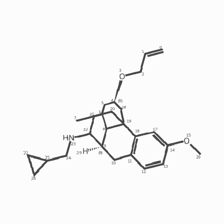 C=CCO[C@@H]1CC(C)C2[C@H]3Cc4ccc(OC)cc4C2(CCC3NCC2CC2)C1